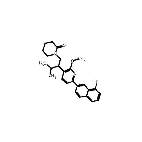 COc1nc(-c2ccc3cccc(F)c3c2)ccc1C(CN1CCCCC1=O)C(C)C